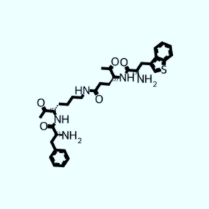 CC(=O)[C@H](CCCCNC(=O)CC[C@H](NC(=O)[C@@H](N)Cc1csc2ccccc12)C(C)=O)NC(=O)[C@@H](N)Cc1ccccc1